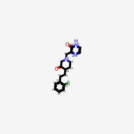 O=C1CN(Cc2ncc[nH]c2=O)CCC1CCc1ccccc1F